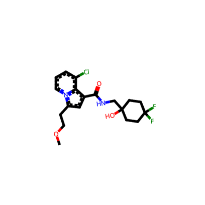 COCCc1cc(C(=O)NCC2(O)CCC(F)(F)CC2)c2c(Cl)cccn12